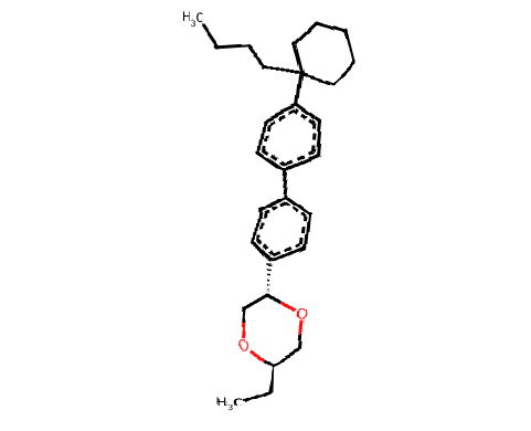 CCCCC1(c2ccc(-c3ccc([C@H]4CO[C@H](CC)CO4)cc3)cc2)CCCCC1